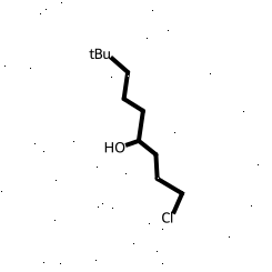 CC(C)(C)CCCC(O)CCCCl